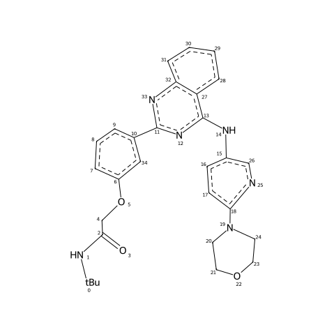 CC(C)(C)NC(=O)COc1cccc(-c2nc(Nc3ccc(N4CCOCC4)nc3)c3ccccc3n2)c1